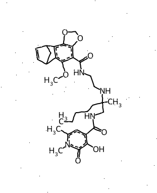 CCCCCC(C)(CNC(=O)c1cc(C)n(C)c(=O)c1O)NCCNC(=O)c1c2c(c3c(c1OC)C1C=CC3C1)OCO2